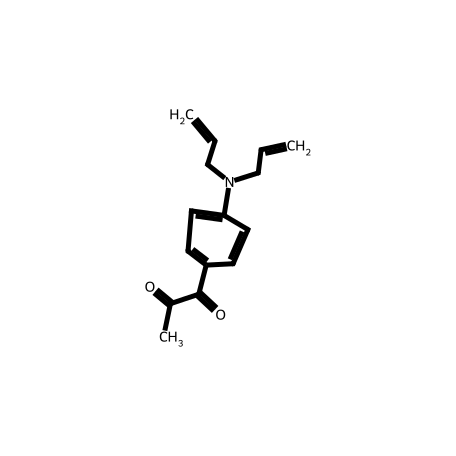 C=CCN(CC=C)c1ccc(C(=O)C(C)=O)cc1